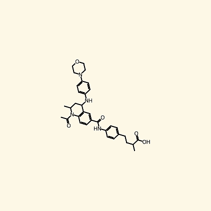 CC(=O)N1c2ccc(C(=O)Nc3ccc(CCC(C)C(=O)O)cc3)cc2C(Nc2ccc(N3CCOCC3)cc2)CC1C